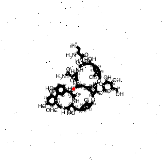 CC(C)C[C@@H](N)C(=O)N[C@H]1C(=O)N[C@@H](CC(N)=O)C(=O)N[C@H]2C(=O)N[C@H]3C(=O)NC(C(=O)N[C@H](C=O)C4=C(C(O)=CC(O)C4)c4cc3ccc4O)C(O)c3ccc(c(Cl)c3)Oc3cc2cc(c3OC2OC(CO)C(O)C(O)C2O)Oc2ccc(cc2Cl)C1O